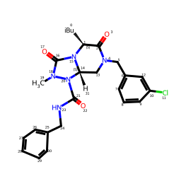 CCC(C)[C@H]1C(=O)N(Cc2cccc(Cl)c2)C[C@H]2N1C(=O)N(C)N2C(=O)NCc1ccccc1